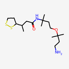 CC(CC(=O)NC(C)(C)CCOC(C)(C)CCN)C1CCSS1